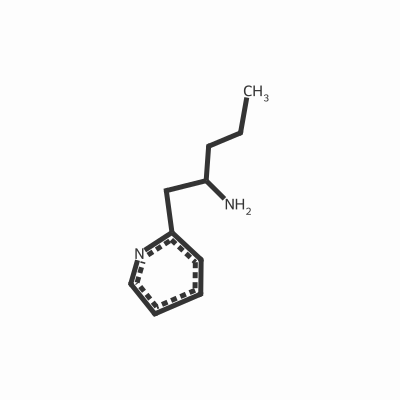 CCCC(N)Cc1ccccn1